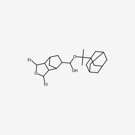 CCC1OC(CC)C2C3CC(CC3C(O)OC(C)(C)C34CC5CC(CC(C5)C3)C4)C12